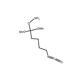 COC(CCCCN=C=O)(OC)O[SiH3]